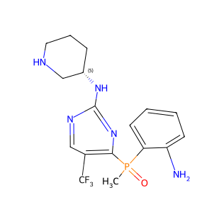 CP(=O)(c1ccccc1N)c1nc(N[C@H]2CCCNC2)ncc1C(F)(F)F